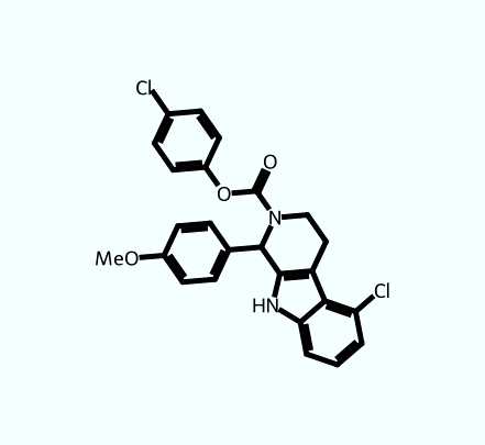 COc1ccc(C2c3[nH]c4cccc(Cl)c4c3CCN2C(=O)Oc2ccc(Cl)cc2)cc1